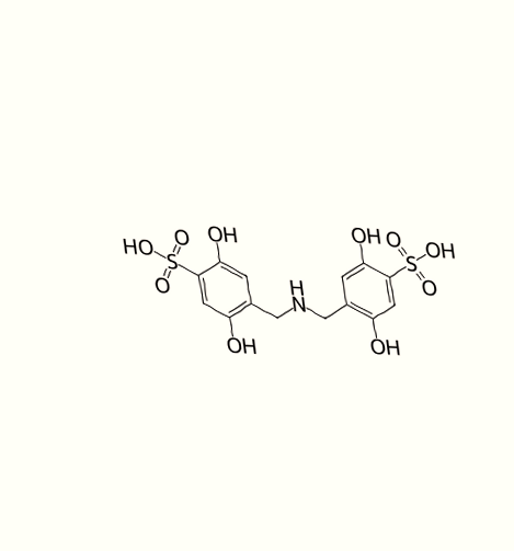 O=S(=O)(O)c1cc(O)c(CNCc2cc(O)c(S(=O)(=O)O)cc2O)cc1O